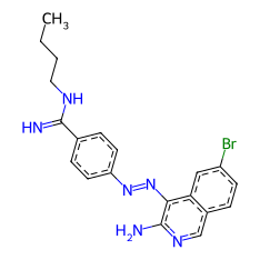 CCCCNC(=N)c1ccc(/N=N/c2c(N)ncc3ccc(Br)cc23)cc1